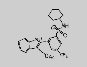 CC(=O)OCc1c(-c2cc(C(F)(F)F)cc(S(=O)(=O)NC3CCCCC3)c2)[nH]c2ccccc12